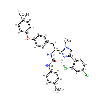 CCCCn1cc(-c2ccc(Cl)cc2Cl)nc1[C@H](Cc1ccc(Oc2ccc(C(=O)O)cc2)cc1)NC(=O)Nc1ccc(OC)cc1